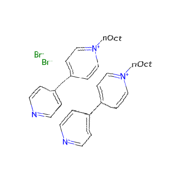 CCCCCCCC[n+]1ccc(-c2ccncc2)cc1.CCCCCCCC[n+]1ccc(-c2ccncc2)cc1.[Br-].[Br-]